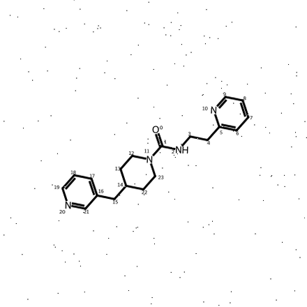 O=C(NCCc1ccccn1)N1CCC(Cc2cccnc2)CC1